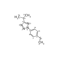 CSc1ccc(-n2nnc(C(C)C)n2)cc1